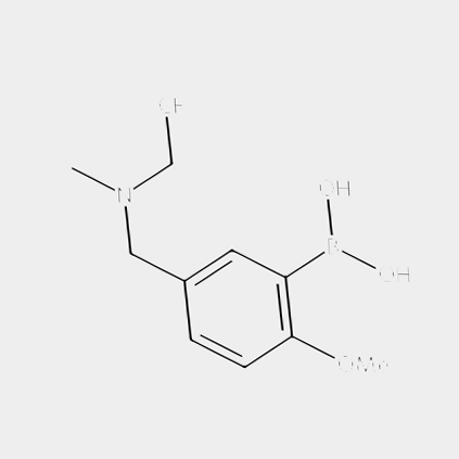 COc1ccc(CN(C)CC(F)(F)F)cc1B(O)O